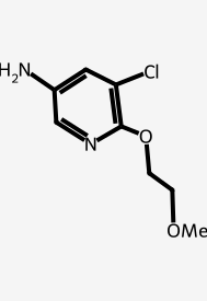 COCCOc1ncc(N)cc1Cl